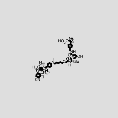 CC(C)(C)[C@H](NC(=O)COCCCCCNc1ccc(C(=O)N[C@H]2C(C)(C)[C@H](Oc3ccc(C#N)c(Cl)c3)C2(C)C)cc1)C(=O)N1C[C@H](O)C[C@H]1C(=O)NCc1ccc(-c2scnc2C(=O)O)cc1